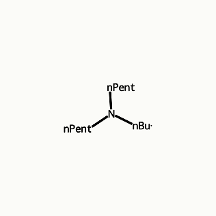 [CH2]CC[CH]N(CCCCC)CCCCC